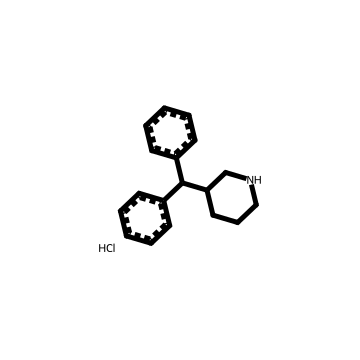 Cl.c1ccc(C(c2ccccc2)C2CCCNC2)cc1